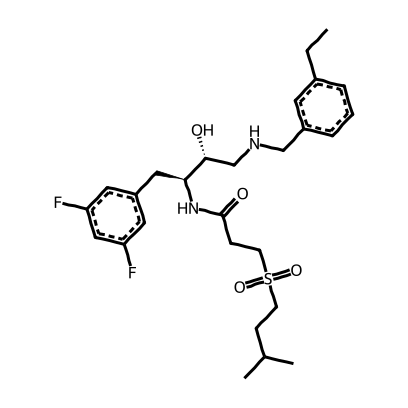 CCc1cccc(CNC[C@@H](O)[C@H](Cc2cc(F)cc(F)c2)NC(=O)CCS(=O)(=O)CCC(C)C)c1